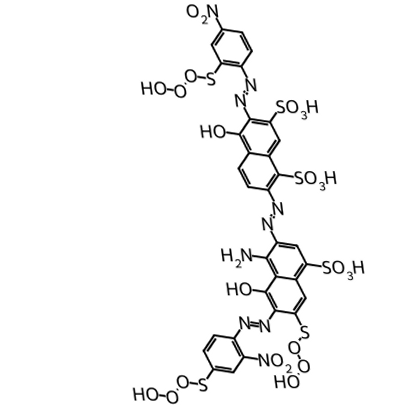 Nc1c(N=Nc2ccc3c(O)c(N=Nc4ccc([N+](=O)[O-])cc4SOOO)c(S(=O)(=O)O)cc3c2S(=O)(=O)O)cc(S(=O)(=O)O)c2cc(SOOO)c(N=Nc3ccc(SOOO)cc3[N+](=O)[O-])c(O)c12